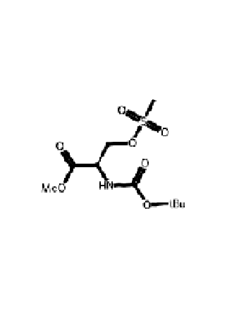 COC(=O)[C@@H](COS(C)(=O)=O)NC(=O)OC(C)(C)C